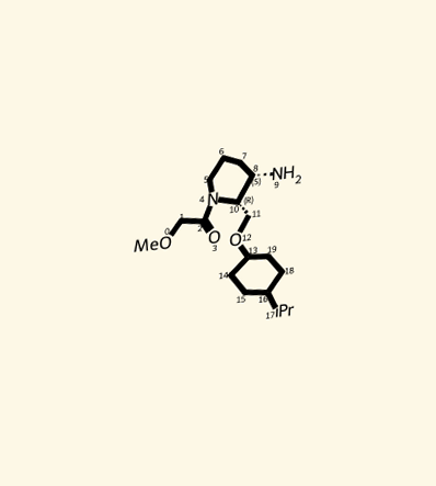 COCC(=O)N1CCC[C@H](N)[C@@H]1COC1CCC(C(C)C)CC1